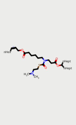 CCCCCC/C=C\COC(=O)CCCCCN(CCC(=O)OC(CCCCCCC)CCCCCCC)C(=O)SCCN(C)C